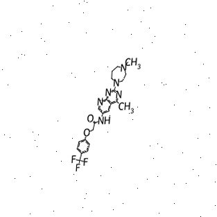 Cc1nc(N2CCCN(C)CC2)nc2ncc(NC(=O)COc3ccc(C(F)(F)F)cc3)cc12